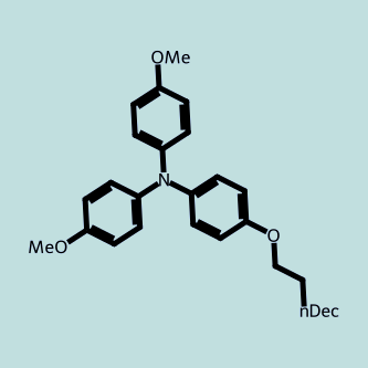 CCCCCCCCCCCCOc1ccc(N(c2ccc(OC)cc2)c2ccc(OC)cc2)cc1